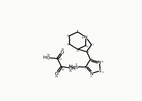 CSc1nsnc1C1CN2CCCC1C2.O=C(O)C(=O)O